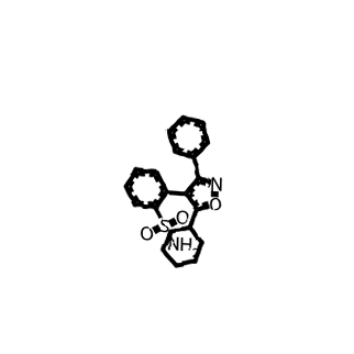 NS(=O)(=O)c1ccccc1-c1c(-c2ccccc2)noc1C1CCCCC1